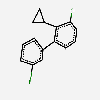 Fc1cccc(-c2[c]ccc(Cl)c2C2CC2)c1